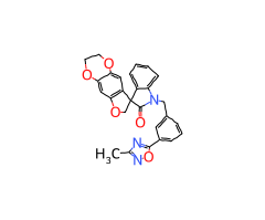 Cc1noc(-c2cccc(CN3C(=O)C4(COc5cc6c(cc54)OCCO6)c4ccccc43)c2)n1